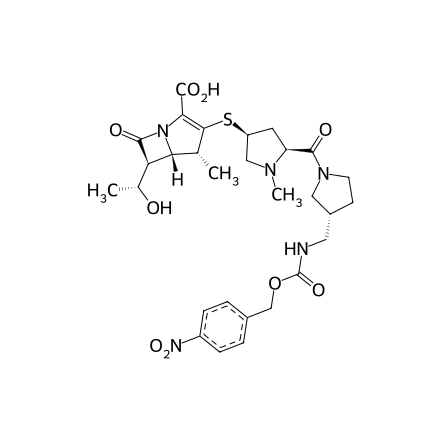 C[C@@H](O)[C@H]1C(=O)N2C(C(=O)O)=C(S[C@H]3C[C@@H](C(=O)N4CC[C@H](CNC(=O)OCc5ccc([N+](=O)[O-])cc5)C4)N(C)C3)[C@H](C)[C@H]12